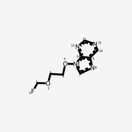 FCOCCOn1cnc2cncnc21